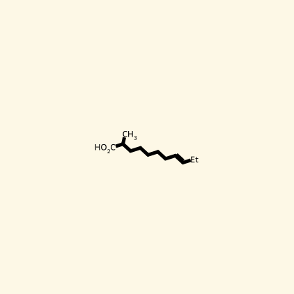 CCC=CCCCCCC(C)C(=O)O